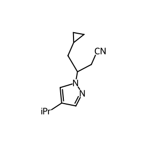 CC(C)c1cnn(C(CC#N)CC2CC2)c1